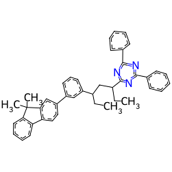 CCC(CC(CC)c1nc(-c2ccccc2)nc(-c2ccccc2)n1)c1cccc(-c2ccc3c(c2)C(C)(C)c2ccccc2-3)c1